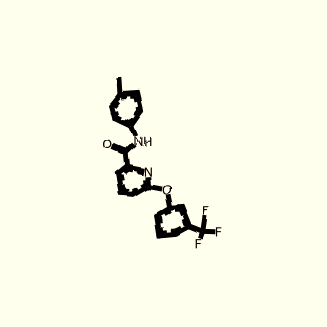 Cc1ccc(NC(=O)c2cccc(Oc3cccc(C(F)(F)F)c3)n2)cc1